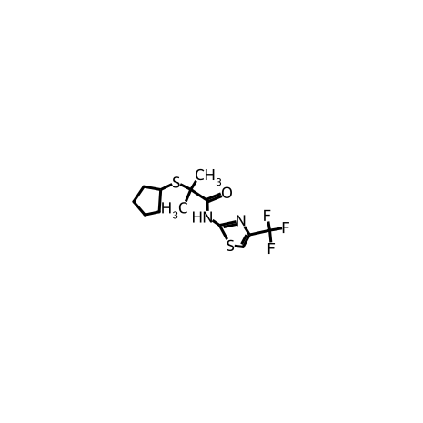 CC(C)(SC1CCCC1)C(=O)Nc1nc(C(F)(F)F)cs1